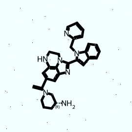 C=C(c1cc2c3c(c1)nc(-c1cc4ccccc4n1Cc1ccccn1)n3CCN2)N1CCC[C@@H](N)C1